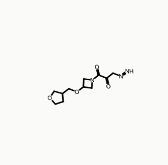 N=NCC(=O)C(=O)N1CC(OCC2CCOC2)C1